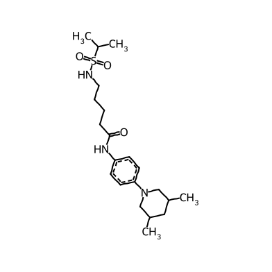 CC1CC(C)CN(c2ccc(NC(=O)CCCCNS(=O)(=O)C(C)C)cc2)C1